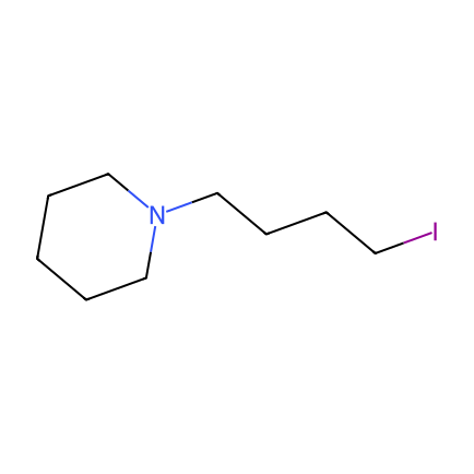 ICCCCN1CCCCC1